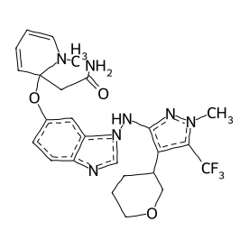 CN1C=CC=CC1(CC(N)=O)Oc1ccc2ncn(Nc3nn(C)c(C(F)(F)F)c3C3CCCOC3)c2c1